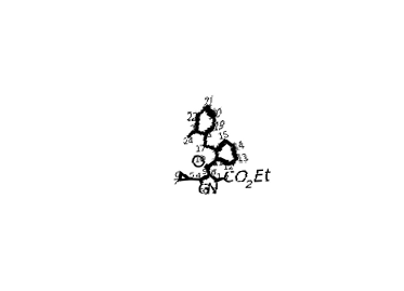 CCOC(=O)c1noc(C2CC2)c1C(=O)c1ccccc1Cc1ccccc1C